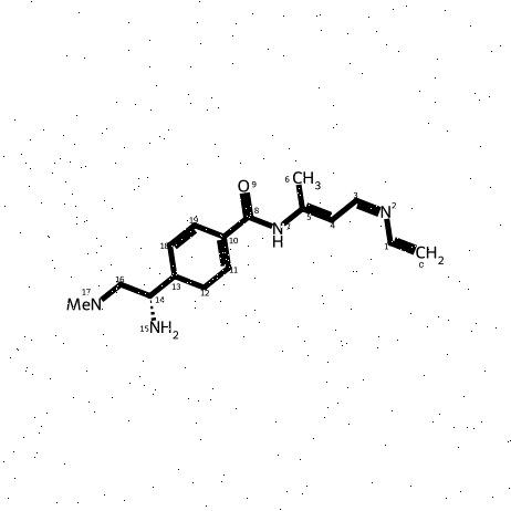 C=C/N=C\C=C(/C)NC(=O)C1=CCC([C@H](N)CNC)C=C1